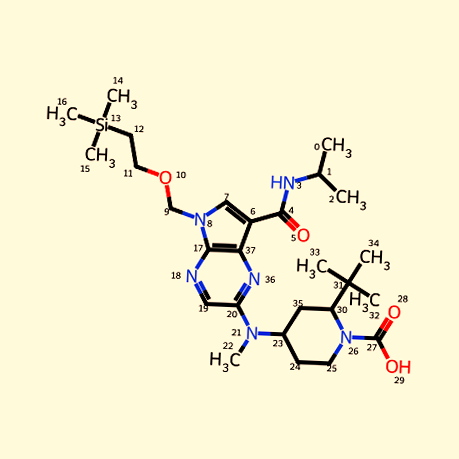 CC(C)NC(=O)c1cn(COCC[Si](C)(C)C)c2ncc(N(C)C3CCN(C(=O)O)C(C(C)(C)C)C3)nc12